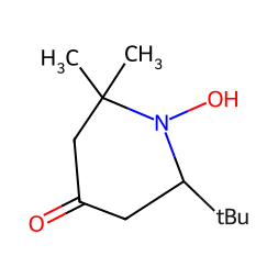 CC(C)(C)C1CC(=O)CC(C)(C)N1O